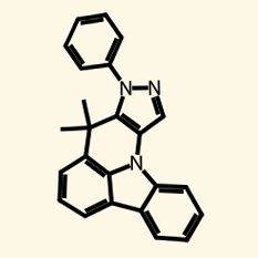 CC1(C)c2cccc3c4ccccc4n(c23)-c2cnn(-c3ccccc3)c21